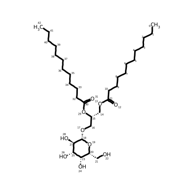 CCCCCCCCCCCC(=O)OC[C@H](CO[C@@H]1O[C@H](CO)[C@H](O)[C@H](O)[C@H]1O)OC(=O)CCCCCCCCCCC